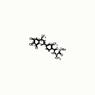 CCCCOC(=O)N(C)NC(=O)c1ccc(C(F)=CC(c2cc(Cl)c(Cl)c(Cl)c2)C(F)(F)F)cc1C(F)(F)F